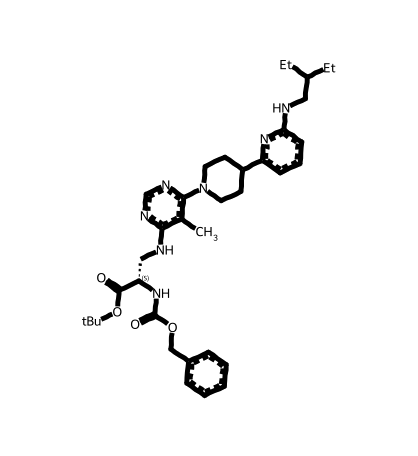 CCC(CC)CNc1cccc(C2CCN(c3ncnc(NC[C@H](NC(=O)OCc4ccccc4)C(=O)OC(C)(C)C)c3C)CC2)n1